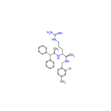 C=C(NCc1ccc(C)cc1Br)C(CCCNC(=N)N)NC(=C)C(c1ccccc1)c1ccccc1